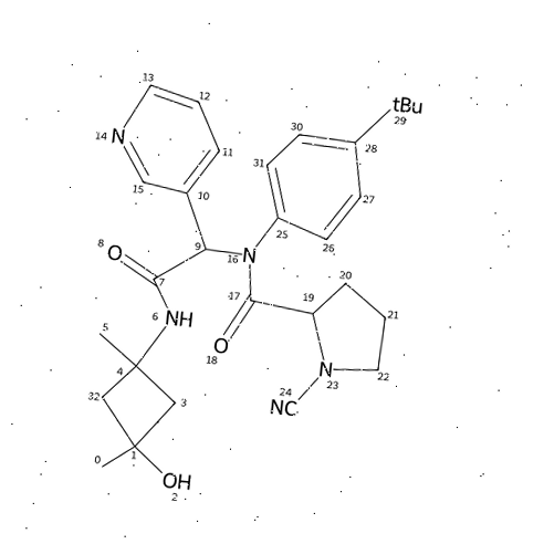 CC1(O)CC(C)(NC(=O)C(c2cccnc2)N(C(=O)C2CCCN2C#N)c2ccc(C(C)(C)C)cc2)C1